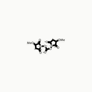 COC1CC(=O)N(OC(=O)ON2C(=O)CC(OC)C2=O)C1=O